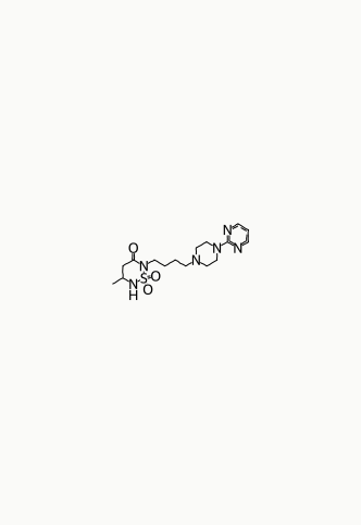 CC1CC(=O)N(CCCCN2CCN(c3ncccn3)CC2)S(=O)(=O)N1